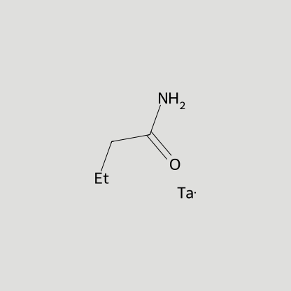 CCCC(N)=O.[Ta]